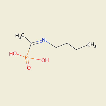 CCCCN=C(C)P(=O)(O)O